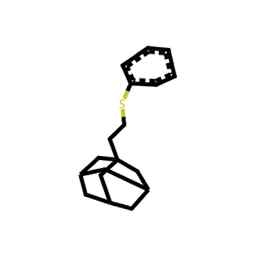 c1ccc(SCCC23CC4CC(CC(C4)C2)C3)cc1